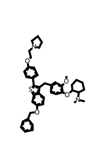 COc1cc(Cc2c(-c3ccc(OCCN4CCCC4)cc3)sc3cc(OCc4ccccc4)ccc23)ccc1OC1CCCCC1N(C)C